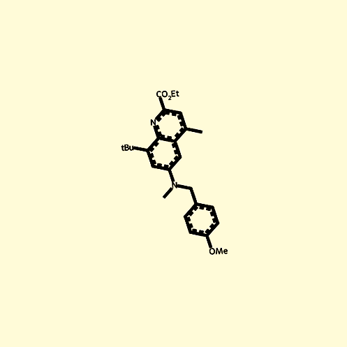 CCOC(=O)c1cc(C)c2cc(N(C)Cc3ccc(OC)cc3)cc(C(C)(C)C)c2n1